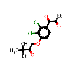 CCC(=O)C(=O)c1ccc(OCC(=O)C(C)(C)CC)c(Cl)c1Cl